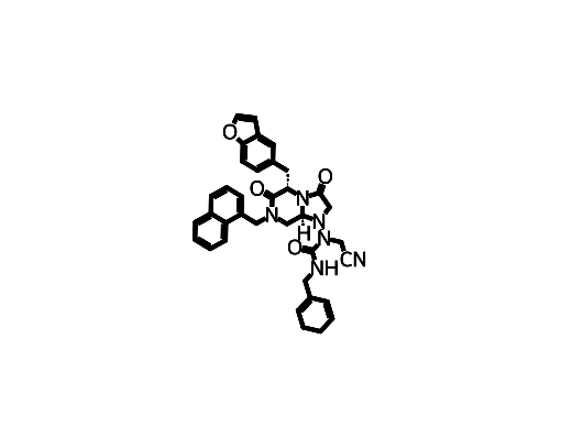 N#CCN(C(=O)NCC1=CCCC=C1)N1CC(=O)N2[C@@H](Cc3ccc4occc4c3)C(=O)N(Cc3cccc4ccccc34)C[C@@H]21